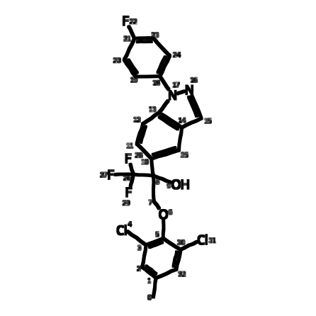 Cc1cc(Cl)c(OCC(O)(c2ccc3c(cnn3-c3ccc(F)cc3)c2)C(F)(F)F)c(Cl)c1